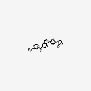 O=C(c1cnc2c(ccn2-c2ccc(N3CCOC3=O)nc2)c1)N1CCCC(C(F)(F)F)C1